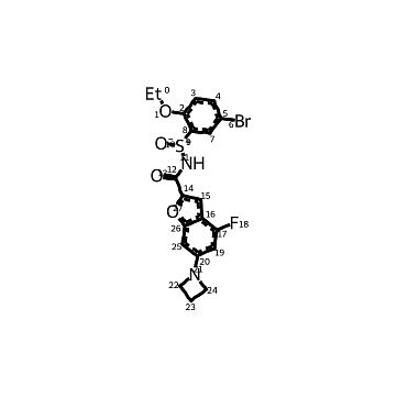 CCOc1ccc(Br)cc1[S+]([O-])NC(=O)c1cc2c(F)cc(N3CCC3)cc2o1